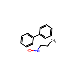 CCCNO.c1ccc(-c2ccccc2)cc1